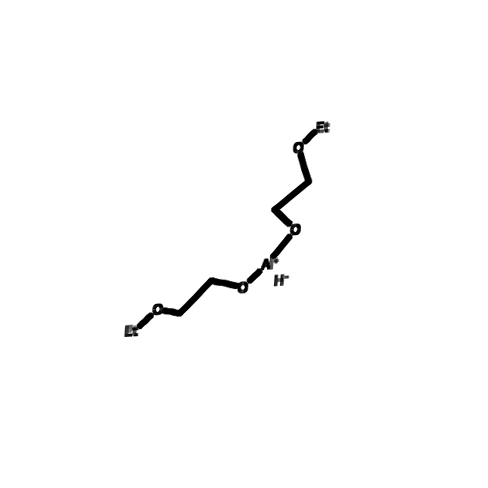 CCOCC[O][Al+][O]CCOCC.[H-]